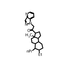 CCCC1C(CC)CCC2C1CCC1(C)C(C(=O)Cn3ncc4ncccc43)CCC21